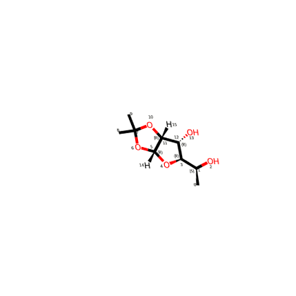 C[C@H](O)[C@H]1O[C@@H]2OC(C)(C)O[C@@H]2[C@@H]1O